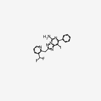 Nc1nc(-c2ccccc2)c(I)c2nc(Cc3ncccc3C(F)F)nn12